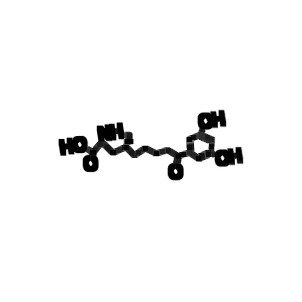 NC(CCCCCCC(=O)c1cc(O)cc(O)c1)C(=O)O